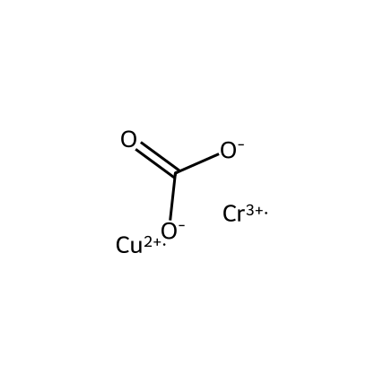 O=C([O-])[O-].[Cr+3].[Cu+2]